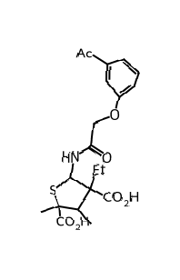 CCC1(C(=O)O)C(NC(=O)COc2cccc(C(C)=O)c2)SC(C)(C(=O)O)C1C